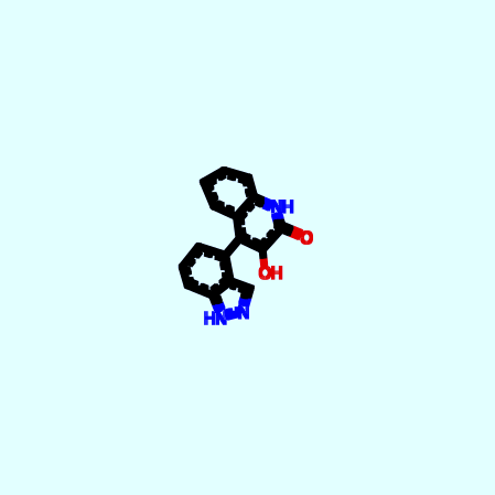 O=c1[nH]c2ccccc2c(-c2cccc3[nH]ncc23)c1O